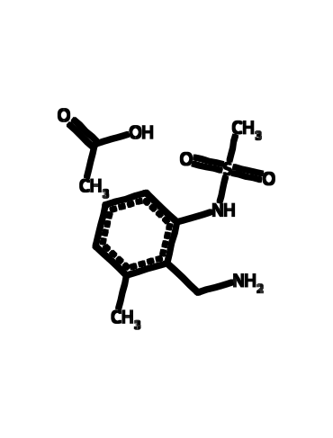 CC(=O)O.Cc1cccc(NS(C)(=O)=O)c1CN